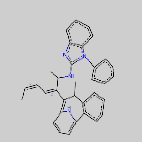 C/C=C\C=C(\C1=C2C=CC=C(N2)c2ccccc2C1C)C(C)Nc1nc2ccccc2n1-c1ccccc1